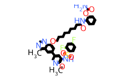 COc1ncc(-c2cc(OCCCCCCCCC(=O)Nc3ccccc3OC(N)=O)c3ncnc(C)c3c2)cc1NS(=O)(=O)c1ccc(F)cc1F